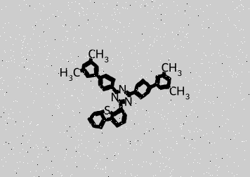 Cc1cc(C)cc(-c2ccc(-c3nc(-c4ccc(-c5cc(C)cc(C)c5)cc4)nc(-c4cccc5c4sc4ccccc45)n3)cc2)c1